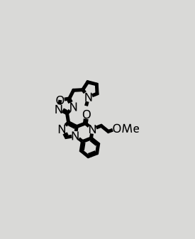 COCCn1c(=O)c2c(-c3noc(CC4CCCN4C)n3)ncn2c2ccccc21